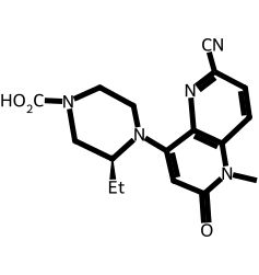 CC[C@H]1CN(C(=O)O)CCN1c1cc(=O)n(C)c2ccc(C#N)nc12